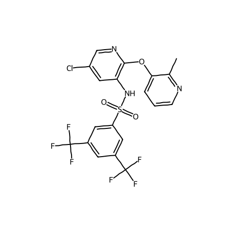 Cc1ncccc1Oc1ncc(Cl)cc1NS(=O)(=O)c1cc(C(F)(F)F)cc(C(F)(F)F)c1